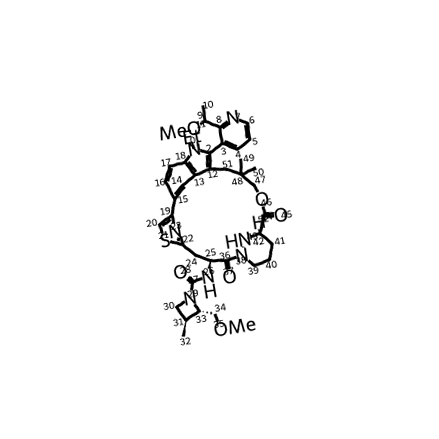 CCn1c(-c2cccnc2[C@H](C)OC)c2c3cc(ccc31)-c1csc(n1)C[C@H](NC(=O)N1C[C@H](C)[C@H]1COC)C(=O)N1CCC[C@H](N1)C(=O)OCC(C)(C)C2